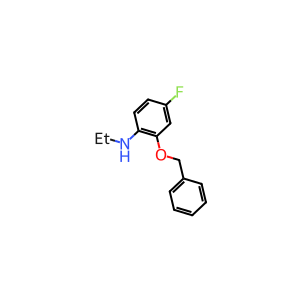 CCNc1ccc(F)cc1OCc1ccccc1